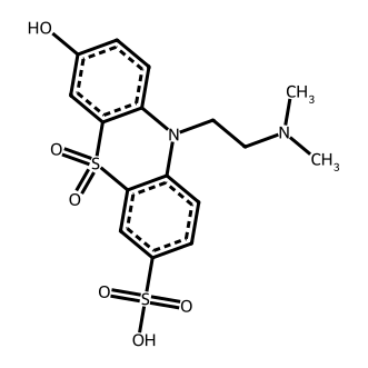 CN(C)CCN1c2ccc(O)cc2S(=O)(=O)c2cc(S(=O)(=O)O)ccc21